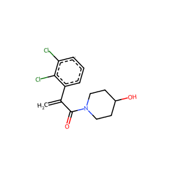 C=C(C(=O)N1CCC(O)CC1)c1cc[c]c(Cl)c1Cl